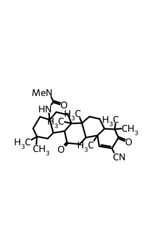 CNC(=O)NC12CCC(C)(C)CC1C1C(=O)CC3C4(C)C=C(C#N)C(=O)C(C)(C)C4CCC3(C)C1(C)CC2